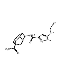 CC(C)CN(C)c1cc(C(=O)NC2C3CC4CC2CC(C(N)=O)(C4)C3)nn1C